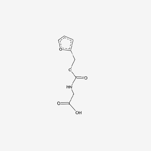 O=C(O)CNC(=O)OCc1ccco1